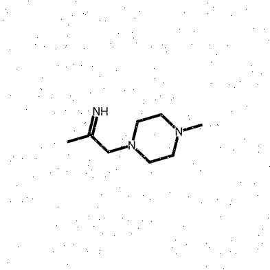 CC(=N)CN1CCN(C)CC1